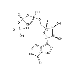 O=c1[nH]cnc2c1ccn2[C@@H]1O[C@](F)(COP(=O)(O)OP(=O)(O)OP(=O)(O)O)[C@@H](O)[C@H]1O